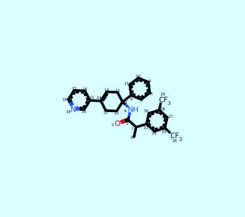 CC(C(=O)NC1(c2ccccc2)CC=C(c2cccnc2)CC1)c1cc(C(F)(F)F)cc(C(F)(F)F)c1